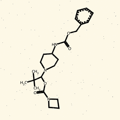 CC(C)(C)C(OC(=O)N1CCC1)N1CCC(NC(=O)OCc2ccccc2)CC1